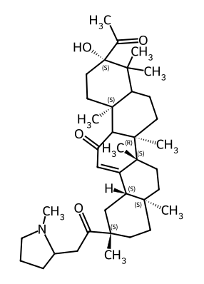 CC(=O)[C@]1(O)CC[C@@]2(C)C(CC[C@]3(C)C2C(=O)C=C2[C@H]4C[C@@](C)(C(=O)CC5CCCN5C)CC[C@]4(C)CC[C@]23C)C1(C)C